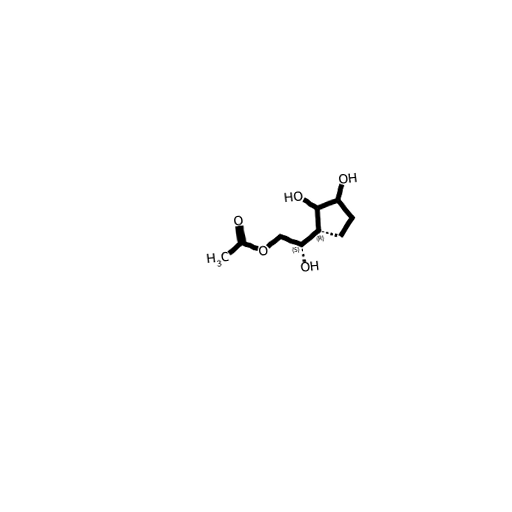 CC(=O)OC[C@@H](O)[C@H]1CCC(O)C1O